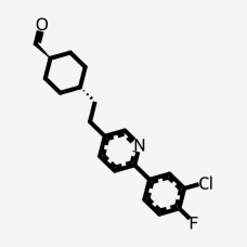 O=C[C@H]1CC[C@H](CCc2ccc(-c3ccc(F)c(Cl)c3)nc2)CC1